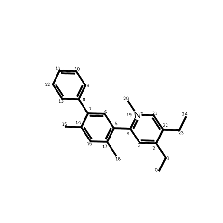 CCc1cc(-c2cc(-c3ccccc3)c(C)cc2C)[n+](C)cc1CC